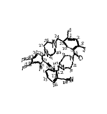 Cc1cc(C)c(C(=O)N2CCN(c3ccccc3C#N)CC2)cc1CN1CCN(c2cc(F)c(F)c(F)c2C#N)CC1